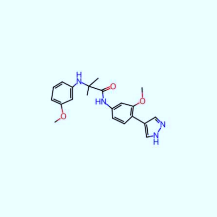 COc1cccc(NC(C)(C)C(=O)Nc2ccc(-c3cn[nH]c3)c(OC)c2)c1